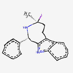 C[C@]1(I)Cc2c([nH]c3ccccc23)[C@H](c2ccccc2)N1